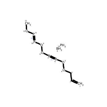 B.C=CCOO/B=B/OO/P=P/OC.P